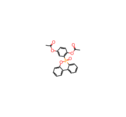 CC(=O)Oc1ccc(OC(C)=O)c(P2(=O)Oc3ccccc3-c3ccccc32)c1